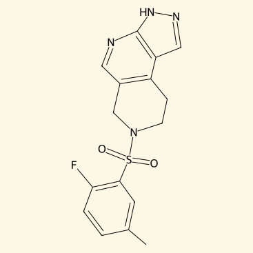 Cc1ccc(F)c(S(=O)(=O)N2CCc3c(cnc4[nH]ncc34)C2)c1